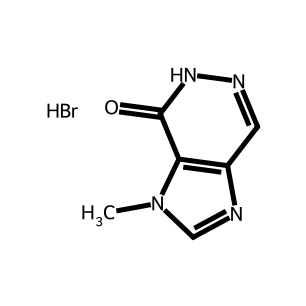 Br.Cn1cnc2cn[nH]c(=O)c21